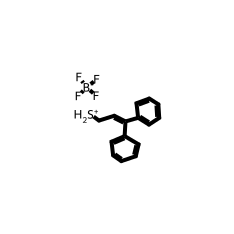 F[B-](F)(F)F.[SH2+]CC=C(c1ccccc1)c1ccccc1